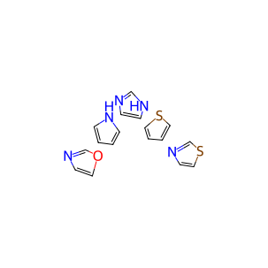 c1c[nH]cn1.c1cc[nH]c1.c1ccsc1.c1cocn1.c1cscn1